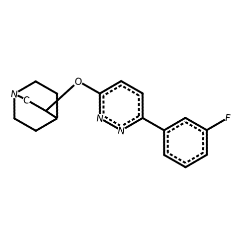 Fc1cccc(-c2ccc(OC3CN4CCC3CC4)nn2)c1